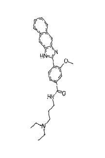 CCN(CC)CCCNC(=O)c1ccc(-c2nc3cc4ccccc4cc3[nH]2)c(OC)c1